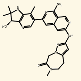 Cc1c(-c2cc3cc(Nc4cc5n(n4)CC(=O)N(C)CC5)ncc3c(N)n2)cnc2c1NC(C)(C)[C@@H]2O